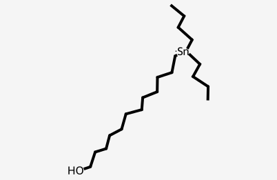 CCC[CH2][Sn]([CH2]CCC)[CH2]CCCCCCCCCCCO